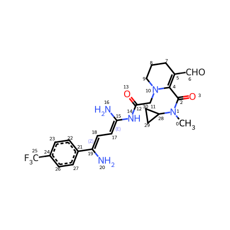 CN(C(=O)C1=C(C=O)CCCN1CC(=O)N/C(N)=C/C=C(\N)c1ccc(C(F)(F)F)cc1)C1CC1